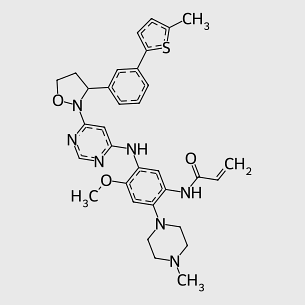 C=CC(=O)Nc1cc(Nc2cc(N3OCCC3c3cccc(-c4ccc(C)s4)c3)ncn2)c(OC)cc1N1CCN(C)CC1